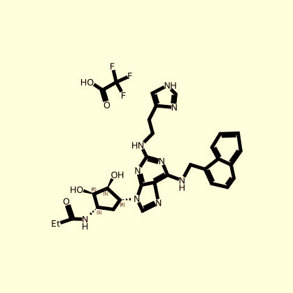 CCC(=O)N[C@H]1C[C@@H](n2cnc3c(NCc4cccc5ccccc45)nc(NCCc4c[nH]cn4)nc32)[C@H](O)[C@@H]1O.O=C(O)C(F)(F)F